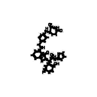 O=C1CCC(Nc2ccc(CNc3cccc4c3C(=O)N(C(C(=O)Nc3nccs3)c3cc(F)ccc3O)C4)cc2)C(=O)N1